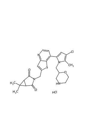 Cc1c(Cl)cc(-c2ccnc3cc(CN4C(=O)C5C(C4=O)C5(C)C)sc23)n1CC1CNCCO1.Cl